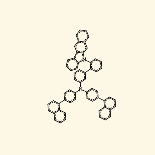 c1cc(-c2ccccc2-n2c3ccccc3c3cc4ccccc4cc32)cc(N(c2ccc(-c3cccc4ccccc34)cc2)c2ccc(-c3cccc4ccccc34)cc2)c1